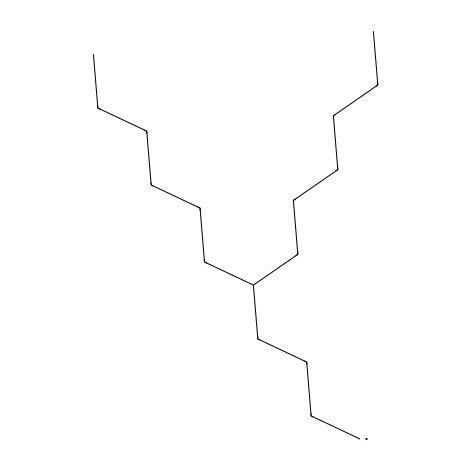 [CH2]CCCC(CCCCCC)CCCCCC